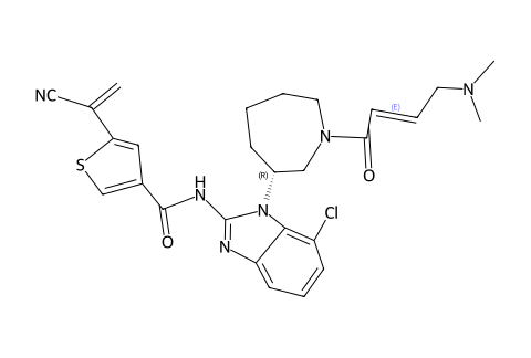 C=C(C#N)c1cc(C(=O)Nc2nc3cccc(Cl)c3n2[C@@H]2CCCCN(C(=O)/C=C/CN(C)C)C2)cs1